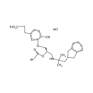 CCOC(=O)CCc1ccc(C#N)c(OC[C@@H](CNC(C)(C)CC2Cc3ccccc3C2)OC(=O)C(C)C)c1.Cl